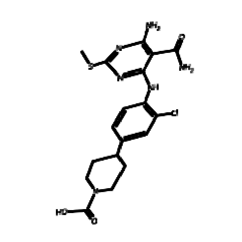 CSc1nc(N)c(C(N)=O)c(Nc2ccc(C3CCN(C(=O)O)CC3)cc2Cl)n1